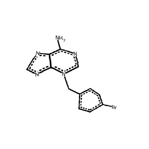 Nc1ncn(Cc2ccc(Br)cc2)c2ncnc1-2